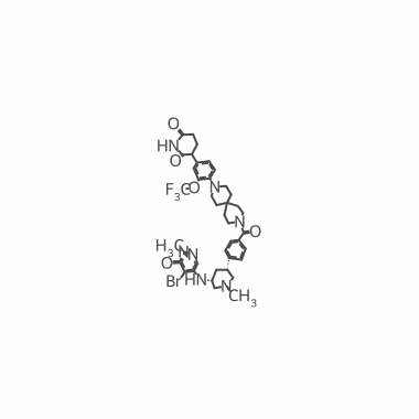 CN1C[C@H](Nc2cnn(C)c(=O)c2Br)C[C@H](c2ccc(C(=O)N3CCC4(CC3)CCN(c3ccc(C5CCC(=O)NC5=O)cc3OC(F)(F)F)CC4)cc2)C1